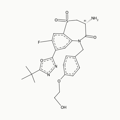 CC(C)(C)c1nnc(-c2cc3c(cc2F)S(=O)(=O)C[C@H](N)C(=O)N3Cc2ccc(OCCO)cc2)o1